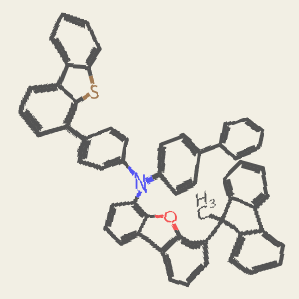 CC1(c2cccc3c2oc2c(N(c4ccc(-c5ccccc5)cc4)c4ccc(-c5cccc6c5sc5ccccc56)cc4)cccc23)c2ccccc2-c2ccccc21